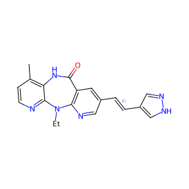 CCN1c2ncc(/C=C/c3cn[nH]c3)cc2C(=O)Nc2c(C)ccnc21